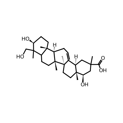 CC1(C(=O)O)C[C@@H](O)[C@]2(C)CC[C@]3(C)C(=CC[C@@H]4[C@@]5(C)CC[C@H](O)C(C)(CO)C5CC[C@]43C)[C@H]2C1